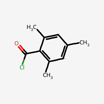 Cc1[c]c(C)c(C(=O)Cl)c(C)c1